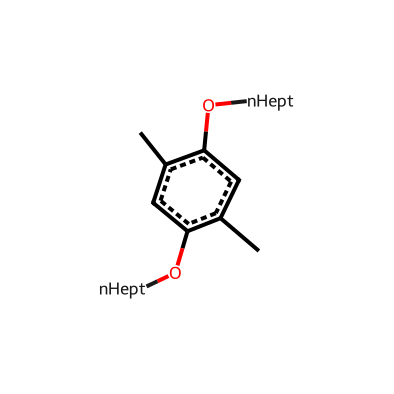 CCCCCCCOc1cc(C)c(OCCCCCCC)cc1C